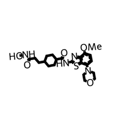 COc1ccc(N2CCOCC2)c2sc(NC(=O)C3CCC(CCC(=O)NO)CC3)nc12